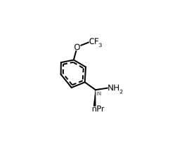 CCC[C@H](N)c1cccc(OC(F)(F)F)c1